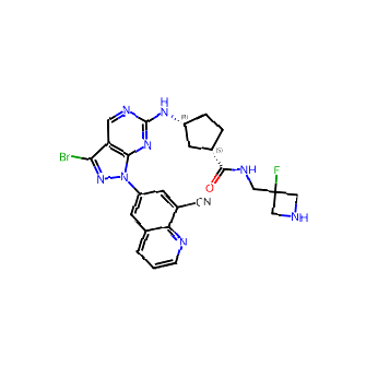 N#Cc1cc(-n2nc(Br)c3cnc(N[C@@H]4CC[C@H](C(=O)NCC5(F)CNC5)C4)nc32)cc2cccnc12